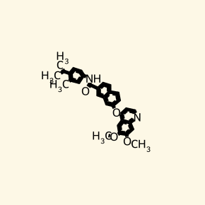 COc1cc2nccc(Oc3ccc4ccc(C(=O)Nc5ccc(C(C)C)c(C)c5)cc4c3)c2cc1OC